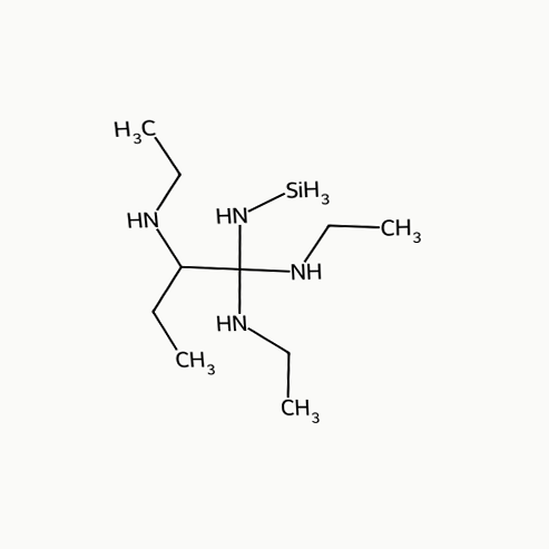 CCNC(CC)C(N[SiH3])(NCC)NCC